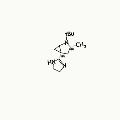 C[C@@H]1C[C@@]2(C3=NCCN3)CC2N1C(C)(C)C